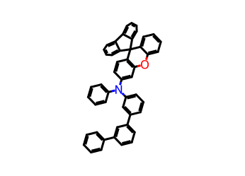 c1ccc(-c2cccc(-c3cccc(N(c4ccccc4)c4ccc5c(c4)Oc4ccccc4C54c5ccccc5-c5ccccc54)c3)c2)cc1